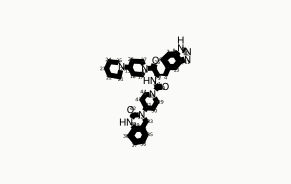 O=C(N[C@H](Cc1ccc2[nH]nnc2c1)C(=O)N1CCC(N2CCCCC2)CC1)N1CCC(N2Cc3ccccc3NC2=O)CC1